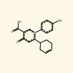 O=C(O)c1cn(-c2ccc(O)cc2)c(C2CC=CCC2)cc1=O